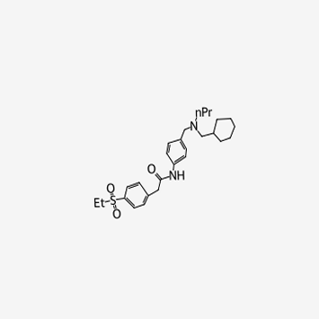 CCCN(Cc1ccc(NC(=O)Cc2ccc(S(=O)(=O)CC)cc2)cc1)CC1CCCCC1